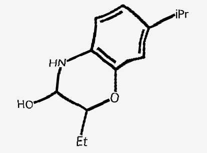 CCC1Oc2cc(C(C)C)ccc2NC1O